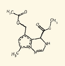 COC(=O)C1NC=Nn2c(C)cc(COC(C)=O)c21